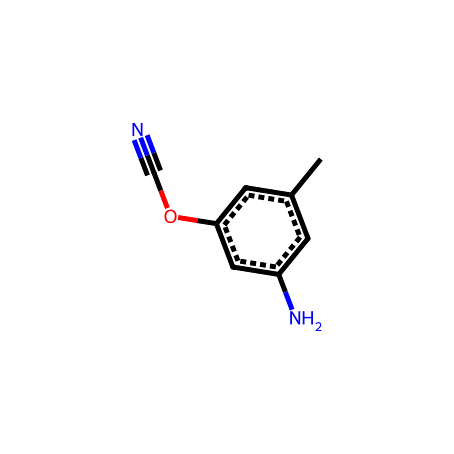 Cc1cc(N)cc(OC#N)c1